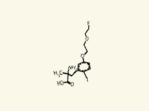 CC(N)(Cc1cc(OCCOCCF)ccc1I)C(=O)O